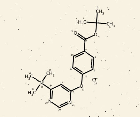 CC(C)(C)OC(=O)c1ccc(Oc2cc([N+](C)(C)C)ncn2)cc1.[Cl-]